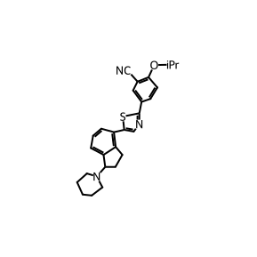 CC(C)Oc1ccc(-c2ncc(-c3cccc4c3CCC4N3CCCCC3)s2)cc1C#N